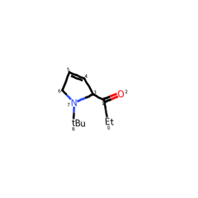 CCC(=O)C1C=CCN1C(C)(C)C